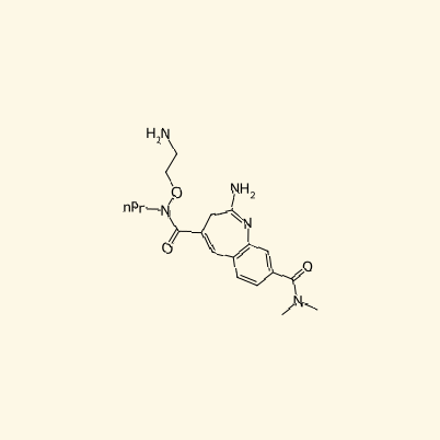 CCCN(OCCN)C(=O)C1=Cc2ccc(C(=O)N(C)C)cc2N=C(N)C1